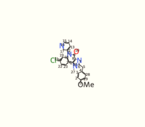 COc1ccc(Cc2nc3c(=O)n(-c4cccnc4)c4cc(Cl)ccc4c3n2C)cc1